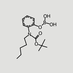 CCCCCN(C(=O)OC(C)(C)C)c1ccccc1OB(O)O